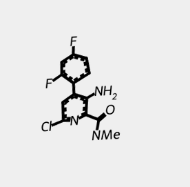 CNC(=O)c1nc(Cl)cc(-c2ccc(F)cc2F)c1N